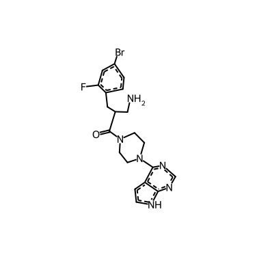 NCC(Cc1ccc(Br)cc1F)C(=O)N1CCN(c2ncnc3[nH]ccc23)CC1